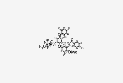 COc1c(C)cc(Oc2c(C)cc(Oc3c(C)cc(C)cc3C)cc2COC(F)(F)C(F)(F)C(F)(F)F)cc1CCC(C)c1ccc(C)cc1